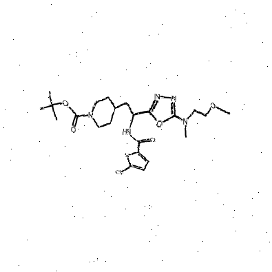 COCCN(C)c1nnc(C(CC2CCN(C(=O)OC(C)(C)C)CC2)NC(=O)c2ccc(Cl)s2)o1